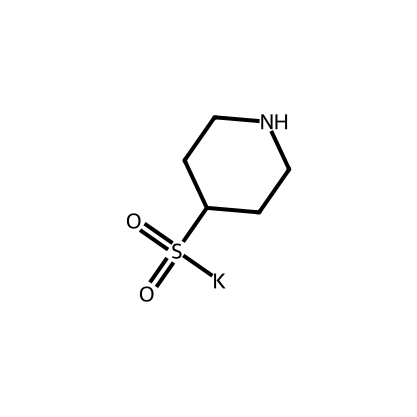 O=[S](=O)([K])C1CCNCC1